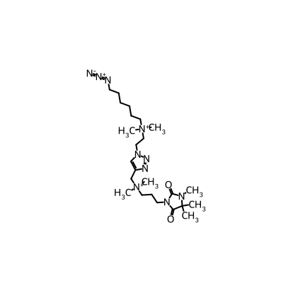 CN1C(=O)N(CCC[N+](C)(C)Cc2cn(CC[N+](C)(C)CCCCCCN=[N+]=[N-])nn2)C(=O)C1(C)C